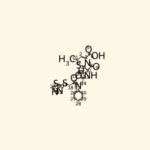 CC1C=C(C(=O)O)N2C(=O)C(NC(=O)CN(C(=O)CSc3nncs3)c3ccccc3)[C@@H]2S1